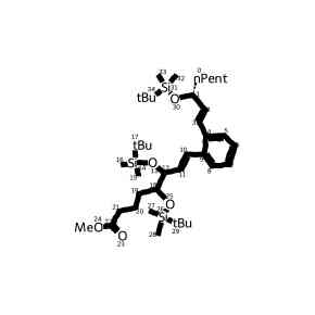 CCCCC[C@H](/C=C/c1ccccc1/C=C/C(O[Si](C)(C)C(C)(C)C)C(CCCC(=O)OC)O[Si](C)(C)C(C)(C)C)O[Si](C)(C)C(C)(C)C